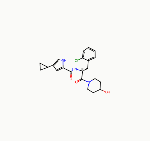 O=C(N[C@@H](Cc1ccccc1Cl)C(=O)N1CCC(O)CC1)c1cc(C2CC2)c[nH]1